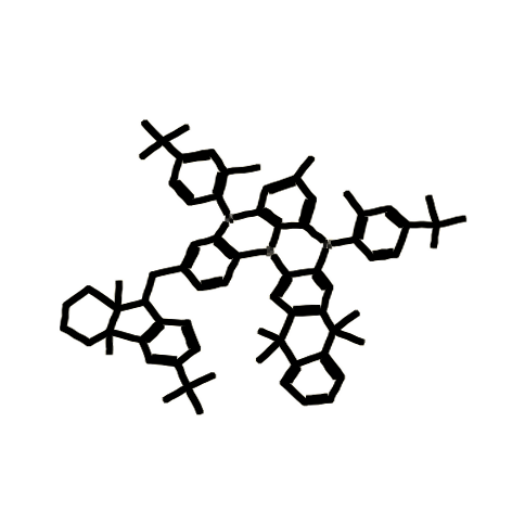 Cc1cc2c3c(c1)N(c1ccc(C(C)(C)C)cc1C)c1cc4c(cc1B3c1ccc(CC3c5ccc(C(C)(C)C)cc5C5(C)CCCCC35C)cc1N2c1ccc(C(C)(C)C)cc1C)C(C)(C)c1ccccc1C4(C)C